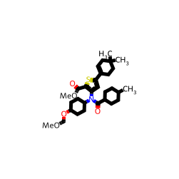 COCOC1CCC(N(C(=O)C2CCC(C)CC2)c2cc(C3=CCC(C)(C)CC3)sc2C(=O)OC)CC1